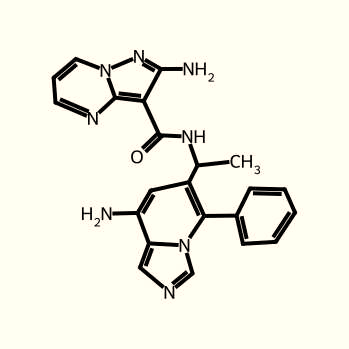 CC(NC(=O)c1c(N)nn2cccnc12)c1cc(N)c2cncn2c1-c1ccccc1